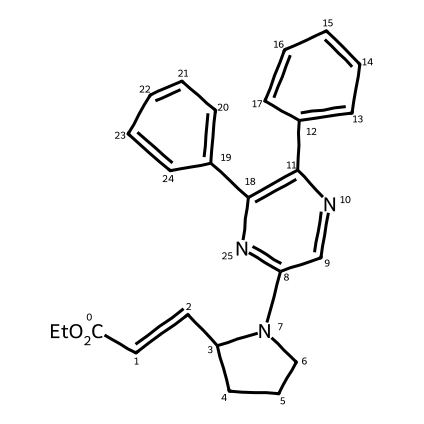 CCOC(=O)C=CC1CCCN1c1cnc(-c2ccccc2)c(-c2ccccc2)n1